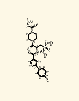 CCCCOC(=O)N1CCN(C(=O)C(CP(=O)(OCC)OCC)NC(=O)c2csc(-c3ccc(F)cc3)n2)CC1